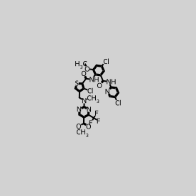 COC(=O)c1cnc(N(C)Cc2csc(C(=O)Nc3c(OC)cc(Cl)cc3C(=O)Nc3ccc(Cl)cn3)c2Cl)nc1C(F)(F)F